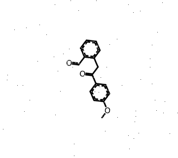 COc1ccc(C(=O)Cc2ccccc2C=O)cc1